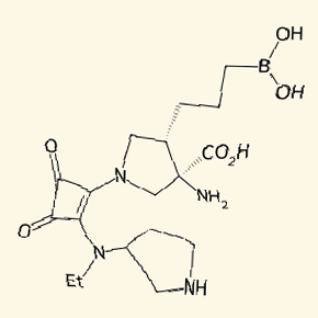 CCN(c1c(N2C[C@H](CCCB(O)O)[C@](N)(C(=O)O)C2)c(=O)c1=O)C1CCNC1